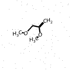 C=C([CH]OC)OC